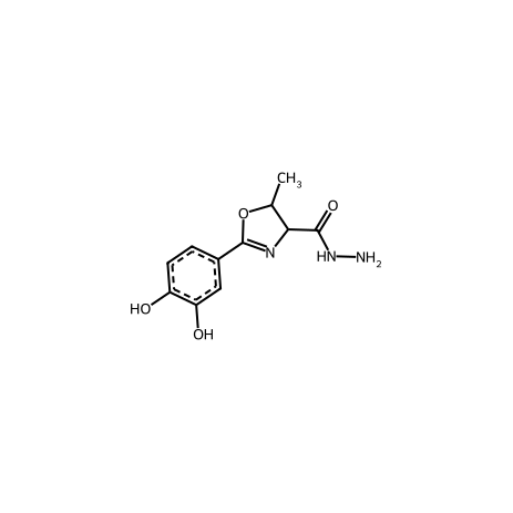 CC1OC(c2ccc(O)c(O)c2)=NC1C(=O)NN